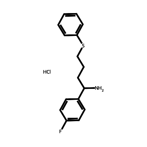 Cl.NC(CCCSc1ccccc1)c1ccc(F)cc1